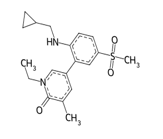 CCn1cc(-c2cc(S(C)(=O)=O)ccc2NCC2CC2)cc(C)c1=O